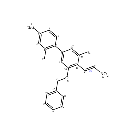 Cc1cc(C(C)(C)C)ccc1-c1cc(OCc2ccccc2)c(/C=C/[N+](=O)[O-])c(C)n1